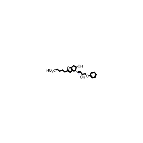 O=C(O)CCCCc1cc2c(o1)C[C@@H](O)[C@@H]2/C=C/[C@@H](O)COc1ccccc1